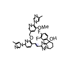 COc1cc(COc2nc(-n3cnc(C)c3)ccc2/C=C/c2nc3n(n2)CCCC3(O)c2ccc(F)c(F)c2)cnc1-n1cnc(C)c1